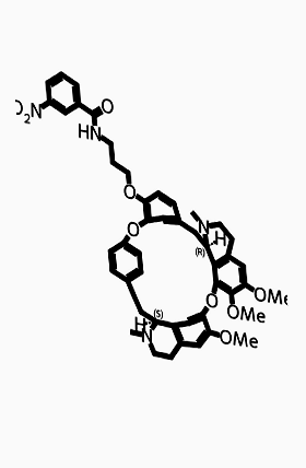 COc1cc2c3cc1Oc1c(OC)c(OC)cc4c1[C@@H](Cc1ccc(OCCCNC(=O)c5cccc([N+](=O)[O-])c5)c(c1)Oc1ccc(cc1)C[C@@H]3N(C)CC2)N(C)CC4